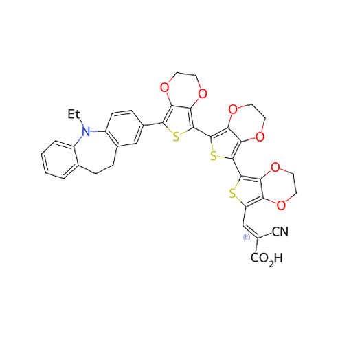 CCN1c2ccccc2CCc2cc(-c3sc(-c4sc(-c5sc(/C=C(\C#N)C(=O)O)c6c5OCCO6)c5c4OCCO5)c4c3OCCO4)ccc21